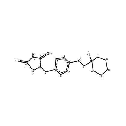 CCC1(COc2ccc(CC3SC(=O)NC3=O)cc2)CCCCC1